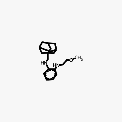 COCCNc1ccccc1NCC12CC3CC(CC(C3)C1)C2